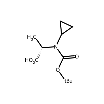 C[C@@H](C(=O)O)N(C(=O)OC(C)(C)C)C1CC1